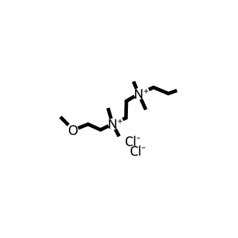 CCC[N+](C)(C)CC[N+](C)(C)CCOC.[Cl-].[Cl-]